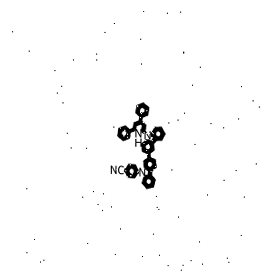 N#Cc1ccc(-n2c3ccccc3c3ccc(-c4ccc5c(c4)c4ccccc4n5C4=CC(c5ccccc5)=CC(c5ccccc5)N4)cc32)cc1